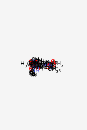 COC(=O)[C@H](Cc1ccc(/C=C/c2ccc(C(=O)N[C@H]3C[C@@H](C(=O)N[C@@H]4CCCc5ccccc54)N(C(=O)[C@@H](NC(=O)[C@H](C)N(C)C(=O)OC(C)(C)C)C(C)(C)C)C3)cc2)cc1)NC(=O)[C@H](C)N(C)C(=O)OC(C)(C)C